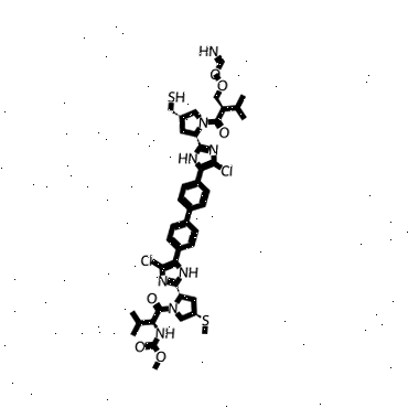 COC(=O)N[C@H](C(=O)N1C[C@@H](SC)C[C@H]1c1nc(Cl)c(-c2ccc(-c3ccc(-c4[nH]c([C@@H]5C[C@H](CS)CN5C(=O)[C@@H](COOC=N)C(C)C)nc4Cl)cc3)cc2)[nH]1)C(C)C